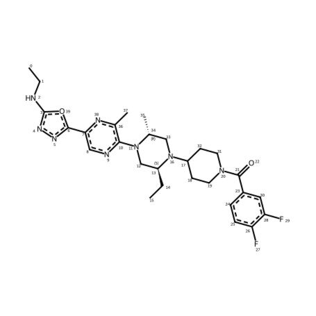 CCNc1nnc(-c2cnc(N3C[C@H](CC)N(C4CCN(C(=O)c5ccc(F)c(F)c5)CC4)C[C@H]3C)c(C)n2)o1